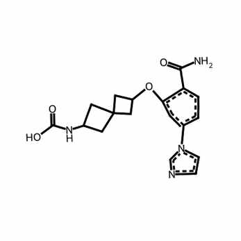 NC(=O)c1ccc(-n2ccnc2)cc1OC1CC2(CC(NC(=O)O)C2)C1